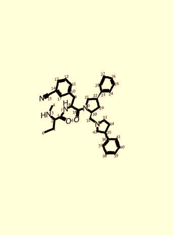 CCC(NC)C(=O)NC(Cc1cccc(C#N)c1)C(=O)N1C[C@@H](c2ccccc2)C[C@H]1CN1CCC(c2ccccc2)C1